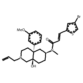 C=CCN1CC[C@@]2(c3cccc(OC)c3)C[C@@H](N(C)C(=O)/C=C/c3cc(Br)cs3)CC[C@]2(O)C1